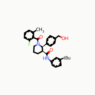 Cc1cccc(F)c1C(=O)N1CCC[C@H](C(=O)Nc2cccc(C(C)(C)C)c2)[C@@H]1c1ccc(CO)cc1